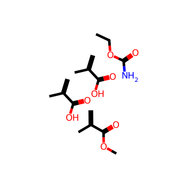 C=C(C)C(=O)O.C=C(C)C(=O)O.C=C(C)C(=O)OC.CCOC(N)=O